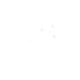 Br[Si](Br)(Br)CCc1ccccc1